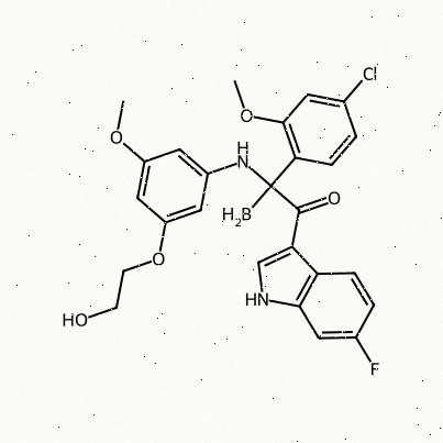 BC(Nc1cc(OC)cc(OCCO)c1)(C(=O)c1c[nH]c2cc(F)ccc12)c1ccc(Cl)cc1OC